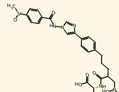 C[C@@H](O)[C@@H](NC(=O)C(CCCc1ccc(-c2cn(NC(=O)c3ccc([S+](C)[O-])cc3)cn2)cc1)CN(O)C=O)C(=O)O